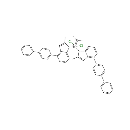 CC1=Cc2c(-c3ccc(-c4ccccc4)cc3)cccc2[CH]1[Zr]([Cl])([Cl])([CH]1C(C)=Cc2c(-c3ccc(-c4ccccc4)cc3)cccc21)=[Si](C)C